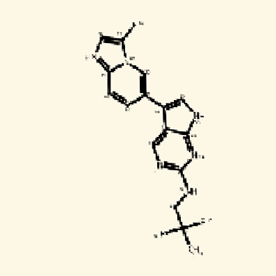 CC(F)(F)CNc1ncc2c(-c3ccc4ncc(F)n4c3)c[nH]c2n1